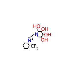 OC[C@H]1[C@@H](O)[C@H](O)[C@@H](O)CN1CC1CN([C@H]2CCCC[C@H]2C(F)(F)F)C1